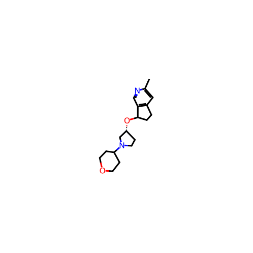 Cc1cc2c(cn1)C(O[C@@H]1CCN(C3CCOCC3)C1)CC2